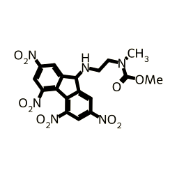 COC(=O)N(C)CCNC1c2cc([N+](=O)[O-])cc([N+](=O)[O-])c2-c2c1cc([N+](=O)[O-])cc2[N+](=O)[O-]